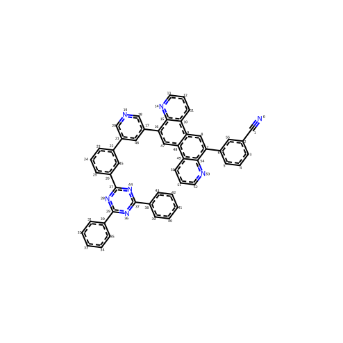 N#Cc1cccc(-c2cc3c4cccnc4c(-c4cncc(-c5cccc(-c6nc(-c7ccccc7)nc(-c7ccccc7)n6)c5)c4)cc3c3cccnc23)c1